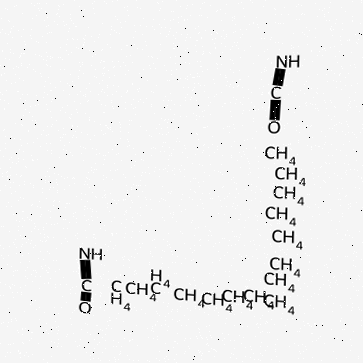 C.C.C.C.C.C.C.C.C.C.C.C.C.C.C.N=C=O.N=C=O